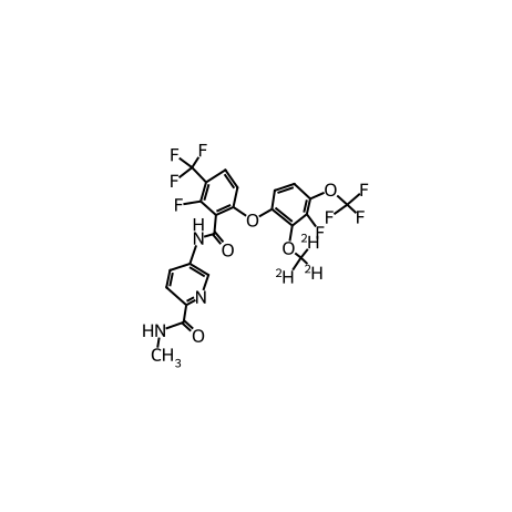 [2H]C([2H])([2H])Oc1c(Oc2ccc(C(F)(F)F)c(F)c2C(=O)Nc2ccc(C(=O)NC)nc2)ccc(OC(F)(F)F)c1F